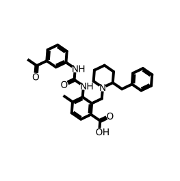 CC(=O)c1cccc(NC(=O)Nc2c(C)ccc(C(=O)O)c2CN2CCCCC2Cc2ccccc2)c1